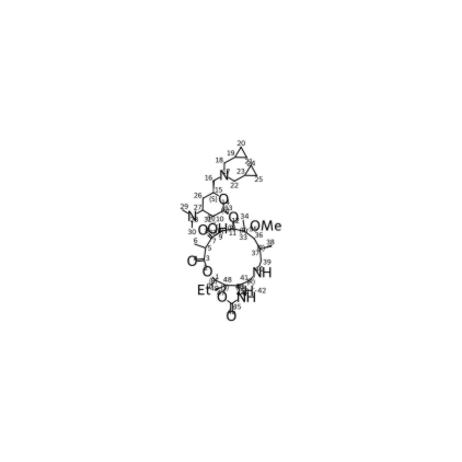 CC[C@H]1OC(=O)C(C)C(=O)[C@H](C)[C@@H](O[C@@H]2O[C@H](CN(CC3CC3)CC3CC3)CC(N(C)C)[C@H]2O)[C@](C)(OC)C[C@@H](C)CN[C@H](C)[C@H]2NC(=O)O[C@@]21C